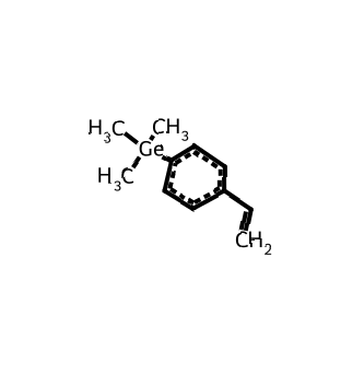 C=Cc1cc[c]([Ge]([CH3])([CH3])[CH3])cc1